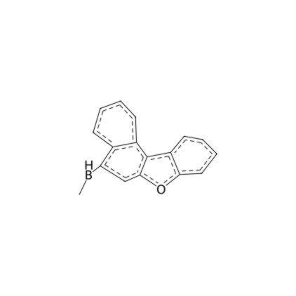 CBc1cc2oc3ccccc3c2c2ccccc12